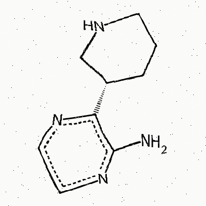 Nc1nccnc1[C@H]1CCCNC1